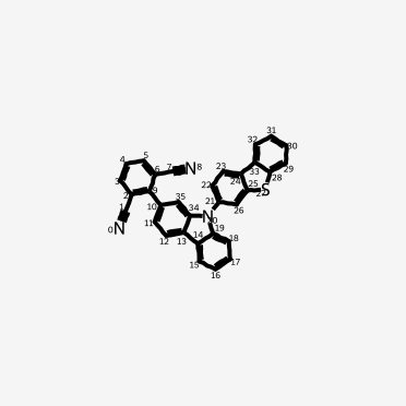 N#Cc1cccc(C#N)c1-c1ccc2c3ccccc3n(-c3ccc4c(c3)sc3ccccc34)c2c1